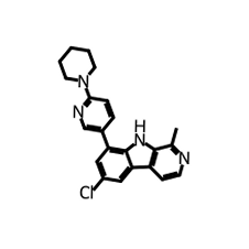 Cc1nccc2c1[nH]c1c(-c3ccc(N4CCCCC4)nc3)cc(Cl)cc12